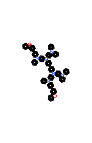 c1ccc(N(c2ccc(-c3ccc4oc5ccccc5c4c3)cc2)c2ccc(N(c3ccc(-c4ccc(N(c5ccc(N(c6ccccc6)c6ccc(-c7ccc8oc9ccccc9c8c7)cc6)cc5)c5ccc6c(c5)c5ccccc5n6-c5ccccc5)cc4)cc3)c3ccc4c(c3)c3ccccc3n4-c3ccccc3)cc2)cc1